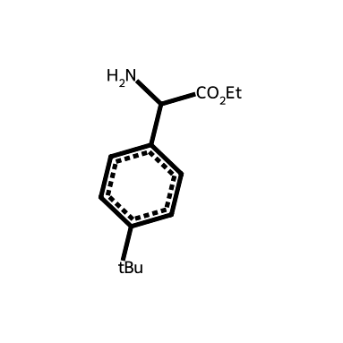 CCOC(=O)C(N)c1ccc(C(C)(C)C)cc1